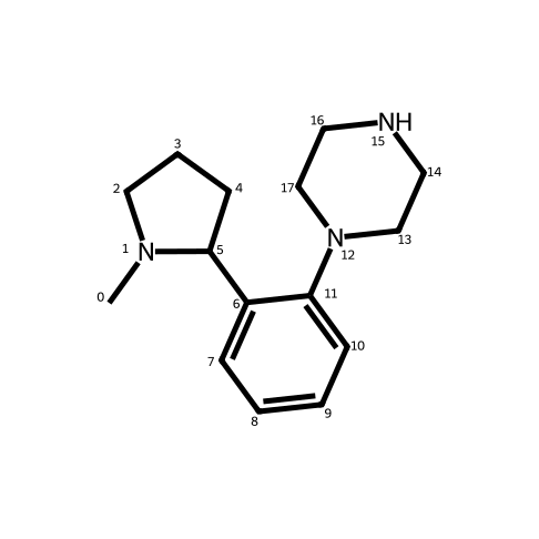 CN1CCCC1c1ccccc1N1CCNCC1